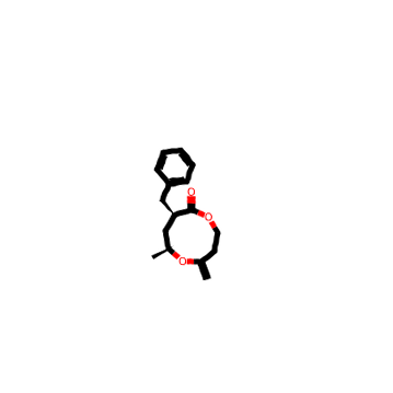 C=C1CCOC(=O)[C@H](Cc2ccccc2)C[C@H](C)O1